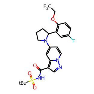 CC(C)(C)S(=O)(=O)NC(=O)c1cnn2ccc(N3CCCC3c3cc(F)ccc3OCC(F)(F)F)cc12